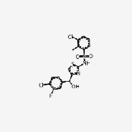 Cc1c(Cl)cccc1S(=O)(=O)Nc1nc(C(O)c2ccc(Cl)c(F)c2)cs1